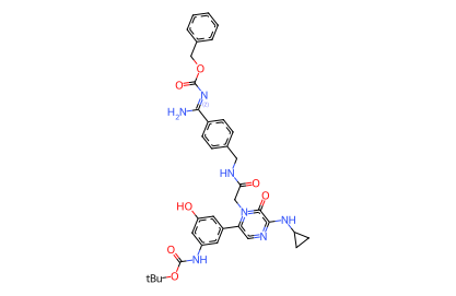 CC(C)(C)OC(=O)Nc1cc(O)cc(-c2cnc(NC3CC3)c(=O)n2CC(=O)NCc2ccc(/C(N)=N/C(=O)OCc3ccccc3)cc2)c1